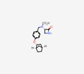 O=C1NC[C@@H]1N(Cc1ccc(O[C@@H]2C[C@H]3CC[C@@H]2C3)cc1)C(=O)O